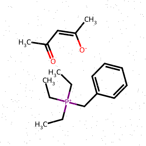 CC(=O)/C=C(/C)[O-].CC[P+](CC)(CC)Cc1ccccc1